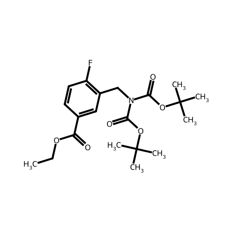 CCOC(=O)c1ccc(F)c(CN(C(=O)OC(C)(C)C)C(=O)OC(C)(C)C)c1